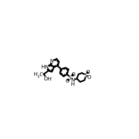 CC(O)c1cc2c(-c3ccc(S(=O)(=O)NC4CCS(=O)(=O)CC4)cc3)ccnc2[nH]1